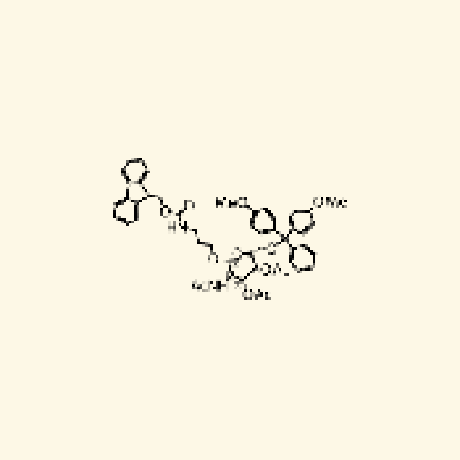 COc1ccc(C(OC[C@H]2O[C@@H](OCCCNC(=O)OCC3c4ccccc4-c4ccccc43)[C@H](NC(C)=O)[C@@H](OC(C)=O)[C@H]2OC(C)=O)(c2ccccc2)c2ccc(OC)cc2)cc1